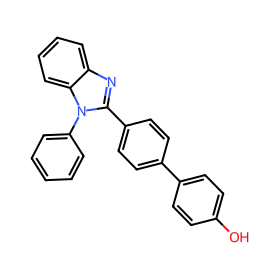 Oc1ccc(-c2ccc(-c3nc4ccccc4n3-c3ccccc3)cc2)cc1